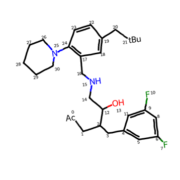 CC(=O)CC(Cc1cc(F)cc(F)c1)C(O)CNCc1cc(CC(C)(C)C)ccc1N1CCCCC1